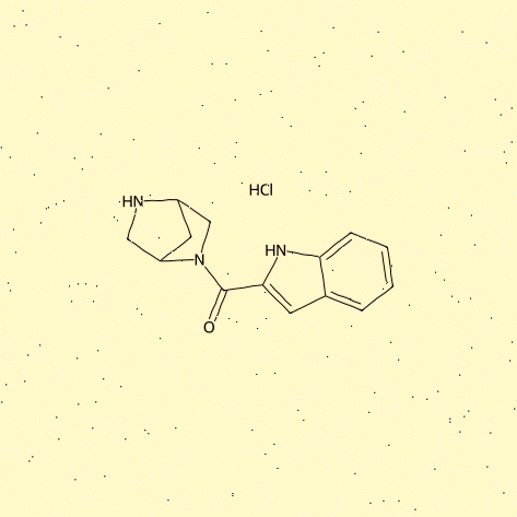 Cl.O=C(c1cc2ccccc2[nH]1)N1CC2CC1CN2